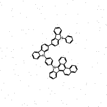 c1ccc(-n2c3ccccc3c3cc(-c4ccc5c6ccccc6n(-c6ccc(-n7c8ccccc8c8c9ccc%10ccccc%10c9c9ccccc9c87)cc6)c5c4)ccc32)cc1